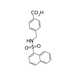 O=C(O)c1ccc(CNS(=O)(=O)c2cccc3ccccc23)cc1